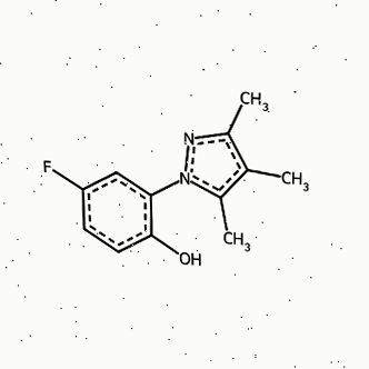 Cc1nn(-c2cc(F)ccc2O)c(C)c1C